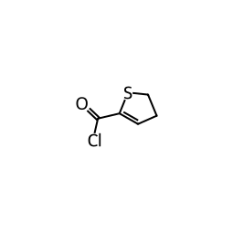 O=C(Cl)C1=CCCS1